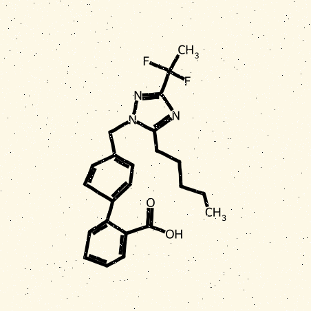 CCCCCc1nc(C(C)(F)F)nn1Cc1ccc(-c2ccccc2C(=O)O)cc1